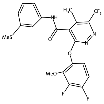 COc1c(Oc2nnc(C(F)(F)F)c(C)c2C(=O)Nc2cccc(SC)c2)ccc(F)c1F